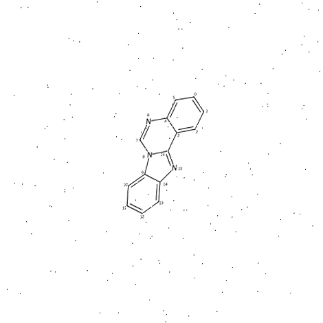 c1ccc2c(c1)ncn1c3ccccc3nc21